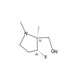 CN1CC[C@@H](F)[C@]1(C)CO